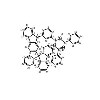 CN1C(c2cccc(-n3c4ccccc4c4ccc(C5(c6ccccc6)c6ccccc6-c6ccccc65)cc43)c2)=NC(c2ccccc2)=NC1c1ccccc1